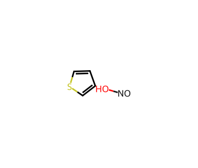 O=NO.c1ccsc1